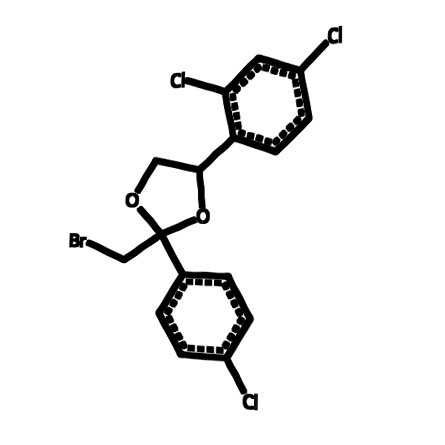 Clc1ccc(C2(CBr)OCC(c3ccc(Cl)cc3Cl)O2)cc1